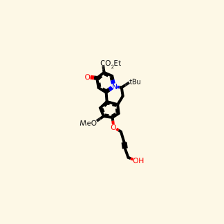 CCOC(=O)c1cn2c(cc1=O)-c1cc(OC)c(OCC#CCO)cc1CC2C(C)(C)C